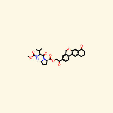 COC(=O)NC(C(=O)N1[C@@H](C)CC[C@H]1C(=O)OCC(=O)c1ccc2c(c1)COc1cc3c(cc1-2)CCCC3=O)C(C)C